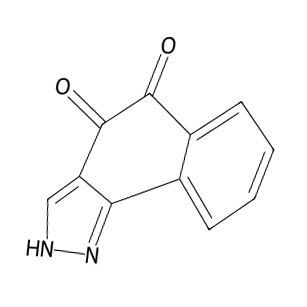 O=C1C(=O)c2c[nH]nc2-c2ccccc21